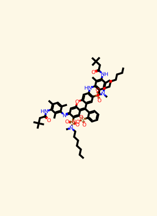 CCCCCCCN(C)S(=O)(=O)c1cc2c(-c3ccccc3S(=O)(=O)O)c3cc(S(=O)(=O)N(C)CCCCCCC)/c(=N/c4c(C)cc(C)c(NC(=O)CC(C)(C)C)c4C)cc-3oc2cc1Nc1c(C)cc(C)c(NC(=O)CC(C)(C)C)c1C